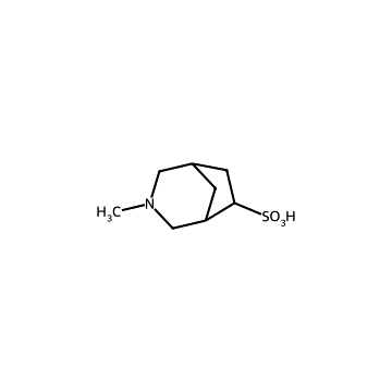 CN1CC2CC(C1)C(S(=O)(=O)O)C2